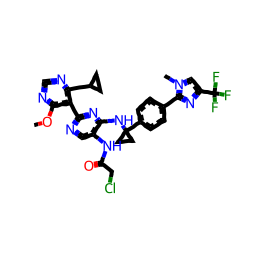 COc1ncnc(C2CC2)c1-c1ncc(NC(=O)CCl)c(NC2(c3ccc(-c4nc(C(F)(F)F)cn4C)cc3)CC2)n1